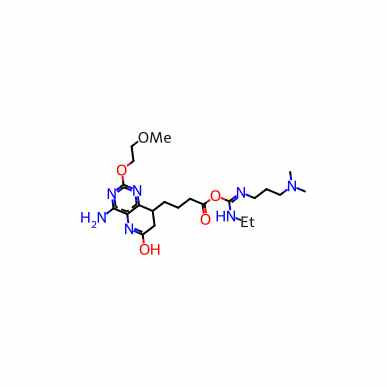 CCN/C(=N\CCCN(C)C)OC(=O)CCCC1CC(O)=Nc2c(N)nc(OCCOC)nc21